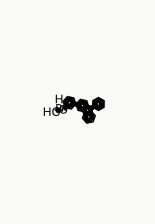 OBOc1cccc(-c2ccc3c(c2)-c2ccccc2C3c2ccccc2)c1